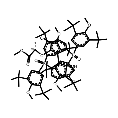 COC(=O)[C@H](C)Oc1c(Cl)ccc(P(=O)(c2cc(C(C)(C)C)c(OC)c(C(C)(C)C)c2)c2cc(C(C)(C)C)c(OC)c(C(C)(C)C)c2)c1-c1c(P(=O)(c2cc(C(C)(C)C)c(OC)c(C(C)(C)C)c2)c2cc(C(C)(C)C)c(OC)c(C(C)(C)C)c2)ccc(Cl)c1O